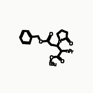 CCCC(C(=O)OC(C)(C)C)C(CC(=O)OCc1ccccc1)N1CCCC1=O